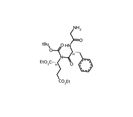 CCOC(=O)CC[C@H](C(=O)OCC)N(C(=O)OC(C)(C)C)C(=O)[C@@H](Cc1ccccc1)NC(=O)CN